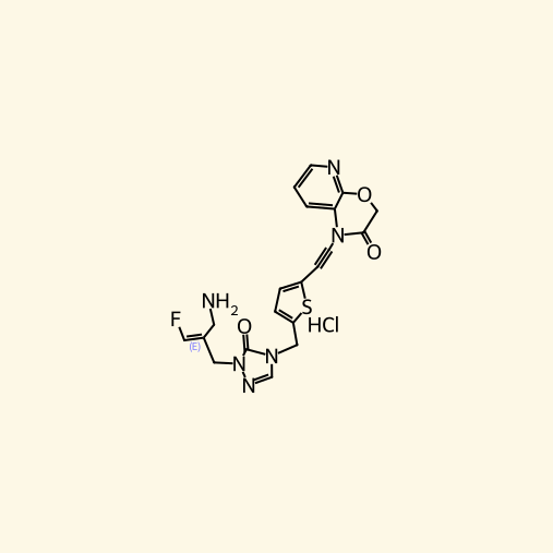 Cl.NC/C(=C\F)Cn1ncn(Cc2ccc(C#CN3C(=O)COc4ncccc43)s2)c1=O